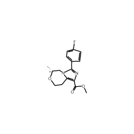 COC(=O)c1nc(-c2ccc(F)cc2)n2c1CCO[C@H](C)C2